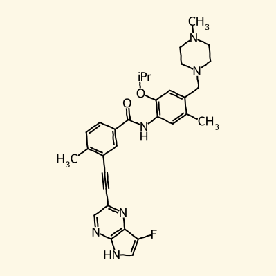 Cc1ccc(C(=O)Nc2cc(C)c(CN3CCN(C)CC3)cc2OC(C)C)cc1C#Cc1cnc2[nH]cc(F)c2n1